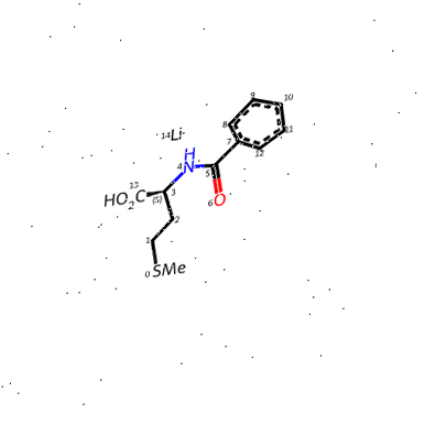 CSCC[C@H](NC(=O)c1ccccc1)C(=O)O.[Li]